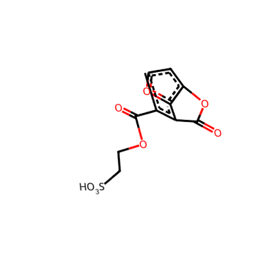 O=C(OCCS(=O)(=O)O)c1c2c3oc1cc3OC2=O